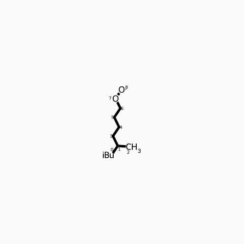 CCC(C)C(C)CCCCO[O]